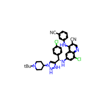 CC(C)(C)N1CCC(N2C=C([C@@H](Nc3cc(Cl)c4ncc(C#N)c(Nc5cccc(C#N)c5)c4c3)c3ccc(Cl)cc3)NN2)CC1